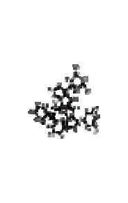 Cc1cc(C)cc(-c2cccc3c2C=C[CH]3[Hf]([CH3])([CH3])([CH]2C=Cc3c(-c4cc(C)cc(C)c4)cccc32)=[Si](c2ccccc2)c2ccccc2)c1